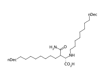 CCCCCCCCCCCCCCCCCCN[C@H](C(=O)O)C(CCCCCCCCCCCCCCCCCC)C(N)=O